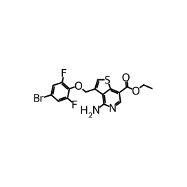 CCOC(=O)c1cnc(N)c2c(COc3c(F)cc(Br)cc3F)csc12